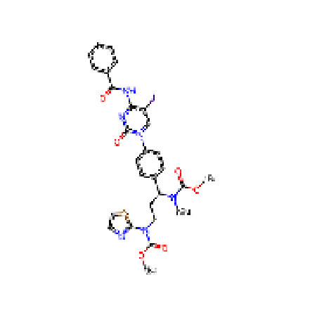 CCCCN(C(=O)OC(C)(C)C)[C@@H](CCN(C(=O)OC(C)(C)C)c1nccs1)c1ccc(-n2cc(I)c(NC(=O)c3ccccc3)nc2=O)cc1